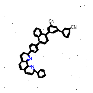 N#Cc1cccc(-c2cc(C#N)cc(-c3ccc(-c4ccc(C5CC=c6ccc7ccc(-c8ccccc8)nc7c6=N5)cc4)c4ccccc34)c2)c1